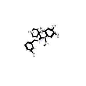 CON1/C(=N/Cc2cccc(Cl)c2)C2(CCNCC2)Nc2cc(Cl)c(Cl)cc21